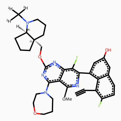 [2H]C([2H])([2H])N1CCC[C@@]2(COc3nc(N4CCCOCC4)c4c(OC)nc(-c5cc(O)cc6ccc(F)c(C#C)c56)c(F)c4n3)CCC[C@@H]12